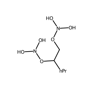 CCCC(CON(O)O)ON(O)O